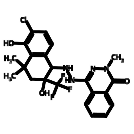 Cn1nc(NNC2c3ccc(Cl)c(O)c3C(C)(C)CC2(O)C(F)(F)F)c2ccccc2c1=O